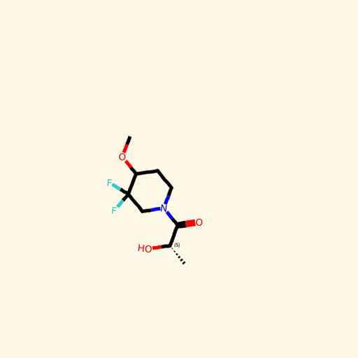 COC1CCN(C(=O)[C@H](C)O)CC1(F)F